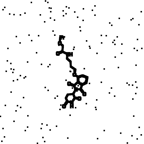 CC(C)OCC(=O)NCCCCOc1cccc2c1C(=O)N(C1CCC(=O)NC1=O)C2=O